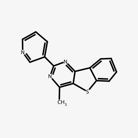 Cc1nc(-c2cccnc2)nc2c1sc1ccccc12